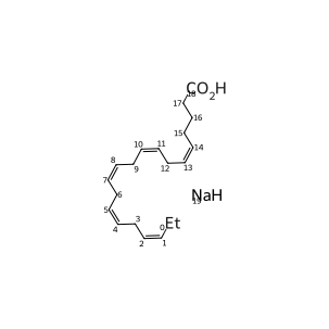 CC/C=C\C/C=C\C/C=C\C/C=C\C/C=C\CCCC(=O)O.[NaH]